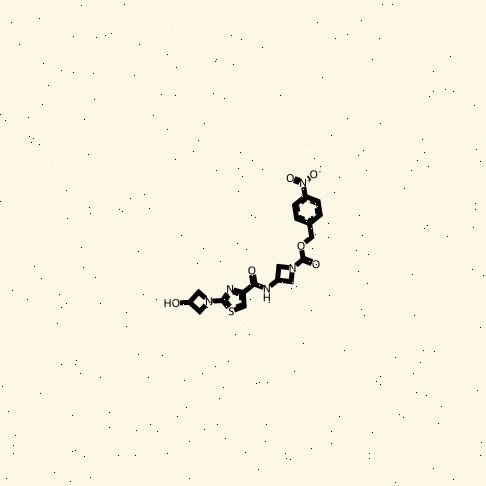 O=C(NC1CN(C(=O)OCc2ccc([N+](=O)[O-])cc2)C1)c1csc(N2CC(O)C2)n1